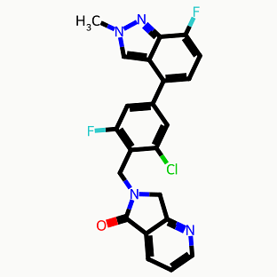 Cn1cc2c(-c3cc(F)c(CN4Cc5ncccc5C4=O)c(Cl)c3)ccc(F)c2n1